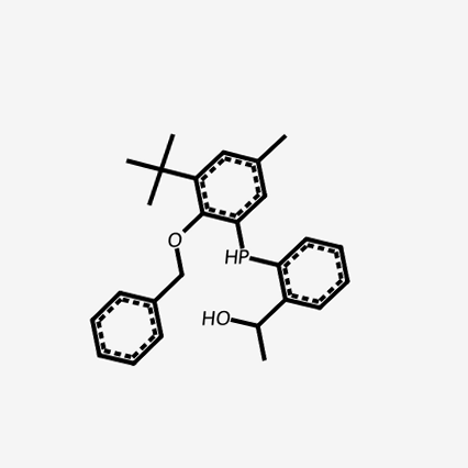 Cc1cc(Pc2ccccc2C(C)O)c(OCc2ccccc2)c(C(C)(C)C)c1